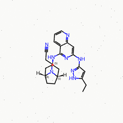 CCc1cc(Nc2cc3ncccc3c(N[C@@H]3C[C@H]4CC[C@@H](C3)N4CCC#N)n2)n[nH]1